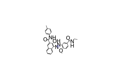 CCNC(=O)c1ccc(OC)c(/N=N/c2c(O)c(C(=O)Nc3ccc(C)cc3)cc3ccccc23)c1